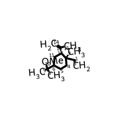 C=C[C@]1(C)CCC(C(C)(C)OC)C[C@H]1C(=C)C